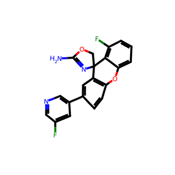 NC1=NC2(CO1)c1cc(-c3cncc(F)c3)ccc1Oc1cccc(F)c12